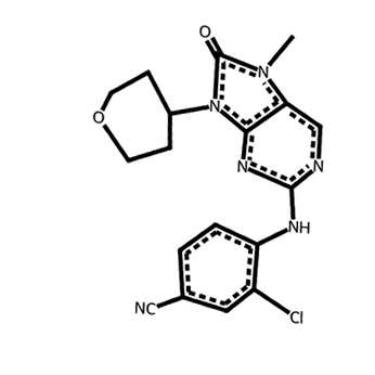 Cn1c(=O)n(C2CCOCC2)c2nc(Nc3ccc(C#N)cc3Cl)ncc21